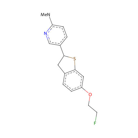 CNc1ccc(C2Cc3ccc(OCCF)cc3S2)cn1